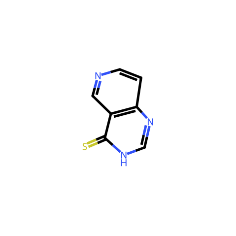 S=c1[nH]cnc2ccncc12